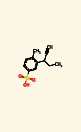 C#CC(CC)c1cc(S(=O)(=O)O)ccc1C